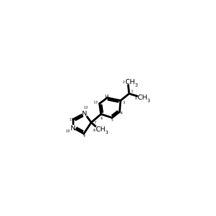 CC(C)c1ccc(C2(C)C=NC=N2)cc1